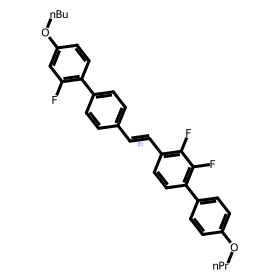 CCCCOc1ccc(-c2ccc(/C=C/c3ccc(-c4ccc(OCCC)cc4)c(F)c3F)cc2)c(F)c1